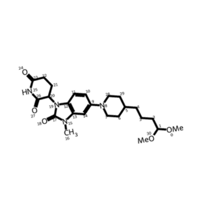 COC(CCCC1CCN(c2ccc3c(c2)n(C)c(=O)n3C2CCC(=O)NC2=O)CC1)OC